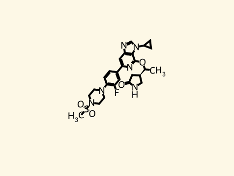 CC(Oc1nc(-c2ccc(N3CCN(S(C)(=O)=O)CC3)c(F)c2)cc2ncn(C3CC3)c12)[C@H]1CNC(=O)C1